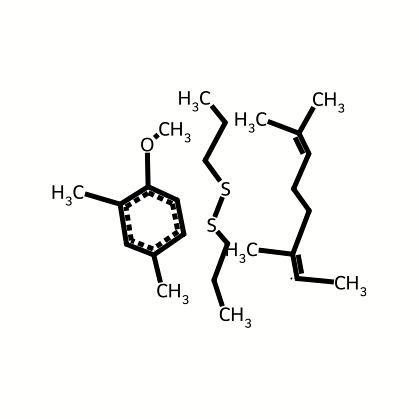 CCCSSCCC.COc1ccc(C)cc1C.C[C]=C(C)CCC=C(C)C